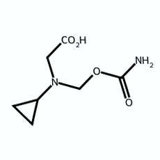 NC(=O)OCN(CC(=O)O)C1CC1